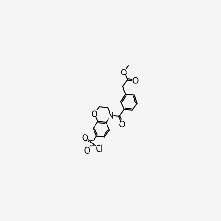 COC(=O)Cc1cccc(C(=O)N2CCOc3cc(S(=O)(=O)Cl)ccc32)c1